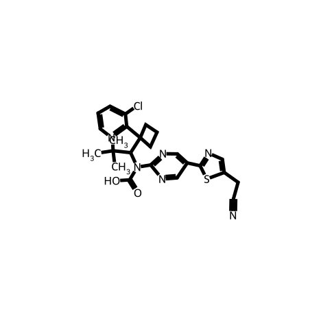 CC(C)(C)C(N(C(=O)O)c1ncc(-c2ncc(CC#N)s2)cn1)C1(c2ncccc2Cl)CCC1